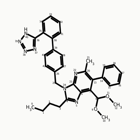 CCCCc1nc2c(C(OC)OC)c(-c3ccccc3)c(C)nc2n1Cc1ccc(-c2ccccc2-c2nnn[nH]2)cc1